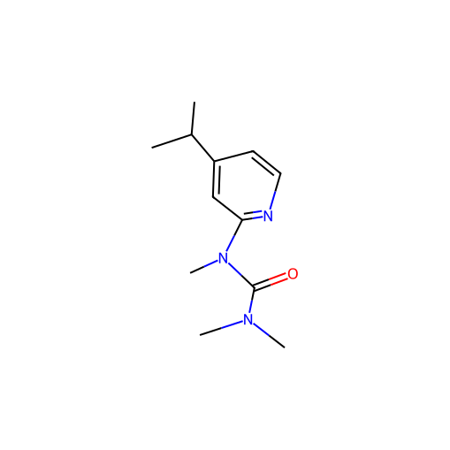 CC(C)c1ccnc(N(C)C(=O)N(C)C)c1